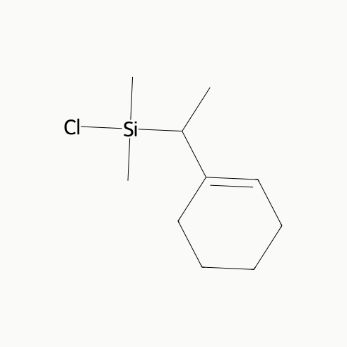 CC(C1=CCCCC1)[Si](C)(C)Cl